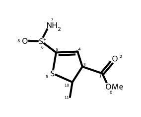 COC(=O)C1C=C([S+](N)[O-])SC1C